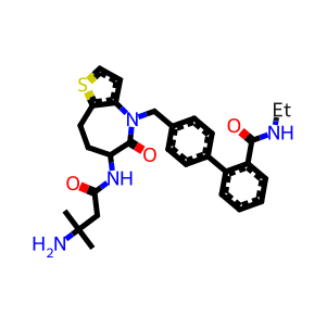 CCNC(=O)c1ccccc1-c1ccc(CN2C(=O)C(NC(=O)CC(C)(C)N)CCc3sccc32)cc1